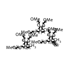 C/C=C\[N+](CCOCCOC)(CCOCCOC)CCOCCOC.C/C=C\[N+](CCOCCOC)(CCOCCOC)CCOCCOC.C/C=C\[N+](CCOCCOC)(CCOCCOC)CCOCCOC.[Br-].[Br-].[Br-]